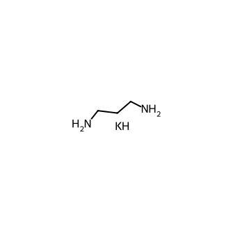 NCCCN.[KH]